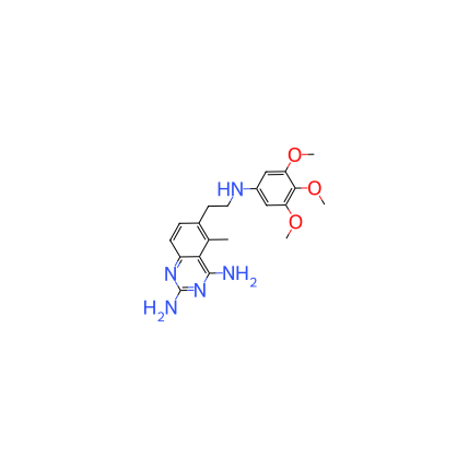 COc1cc(NCCc2ccc3nc(N)nc(N)c3c2C)cc(OC)c1OC